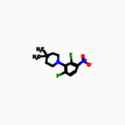 C[Si]1(C)CCN(c2c(F)ccc([N+](=O)[O-])c2F)CC1